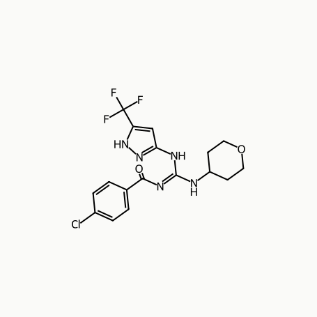 O=C(/N=C(\Nc1cc(C(F)(F)F)[nH]n1)NC1CCOCC1)c1ccc(Cl)cc1